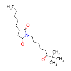 CCCCCC1CC(=O)N(CCCCCC(=O)C(C)(C)C)C1=O